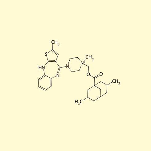 Cc1cc2c(s1)Nc1ccccc1N=C2N1CC[N+](C)(COC(=O)C23CC(C)CC(CC(C)C2)C3)CC1